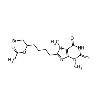 CC(=O)OC(CBr)CCCCc1nc2c(c(=O)[nH]c(=O)n2C)n1C